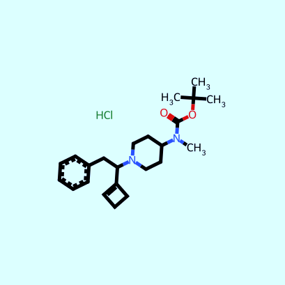 CN(C(=O)OC(C)(C)C)C1CCN(C(Cc2ccccc2)C2=CCC2)CC1.Cl